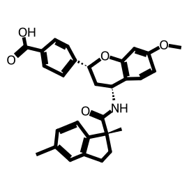 COc1ccc2c(c1)O[C@@H](c1ccc(C(=O)O)cc1)C[C@H]2NC(=O)[C@]1(C)CCc2cc(C)ccc21